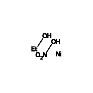 CCO.O=[N+]([O-])O.[Ni]